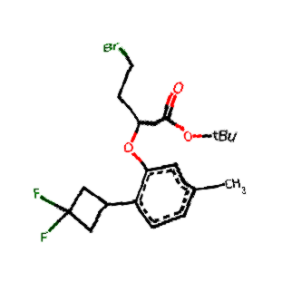 Cc1ccc(C2CC(F)(F)C2)c(OC(CCBr)C(=O)OC(C)(C)C)c1